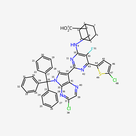 O=C(O)C1C2CCC(CC2)C1Nc1nc(-c2cn(C(c3ccccc3)(c3ccccc3)c3ccccc3)c3nc(Cl)cnc23)nc(-c2ccc(Cl)s2)c1F